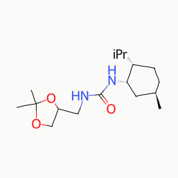 CC(C)[C@@H]1CC[C@@H](C)C[C@@H]1NC(=O)NCC1COC(C)(C)O1